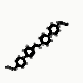 CCCCCCC[C@H]1CC[C@H](c2ccc(CC[C@H]3CC[C@H]([C@H]4CC[C@H](CCCCC)CC4)CC3)cc2)CC1